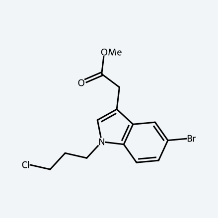 COC(=O)Cc1cn(CCCCl)c2ccc(Br)cc12